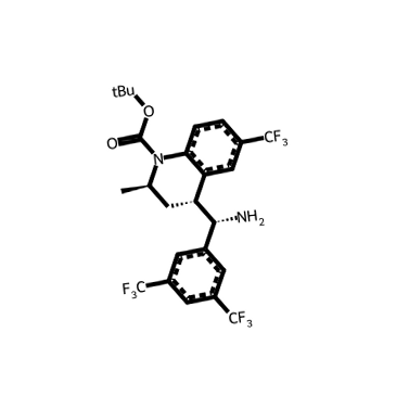 C[C@@H]1C[C@@H]([C@H](N)c2cc(C(F)(F)F)cc(C(F)(F)F)c2)c2cc(C(F)(F)F)ccc2N1C(=O)OC(C)(C)C